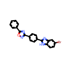 Brc1ccc2[nH]c(-c3ccc(-c4noc(-c5ccccc5)n4)cc3)nc2c1